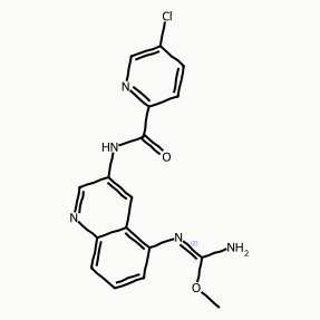 CO/C(N)=N\c1cccc2ncc(NC(=O)c3ccc(Cl)cn3)cc12